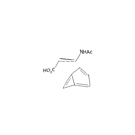 CC(=O)NC=CC(=O)O.c1cc2cc-2c1